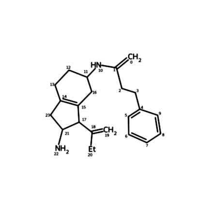 C=C(CCc1ccccc1)NC1CCC2=C(C1)C(C(=C)CC)C(N)C2